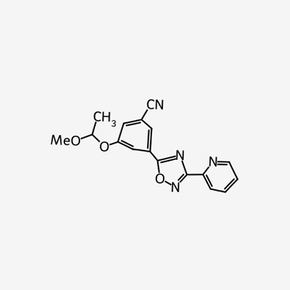 COC(C)Oc1cc(C#N)cc(-c2nc(-c3ccccn3)no2)c1